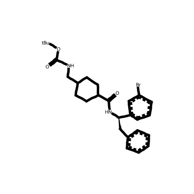 CC(C)(C)OC(=O)NCC1CCC(C(=O)N[C@H](Cc2ccccc2)c2cccc(Br)c2)CC1